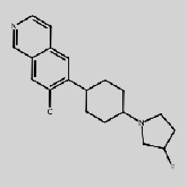 FC1CCN(C2CCC(c3cc4ccncc4cc3Cl)CC2)C1